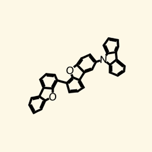 c1ccc2c(c1)oc1c(-c3cccc4c3oc3ccc(-n5c6ccccc6c6ccccc65)cc34)cccc12